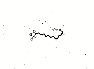 CCCCC/C=C\C/C=C\CCCCCCCC(=O)OP(=O)=O